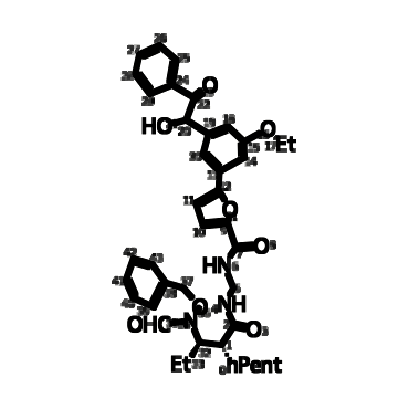 CCCCC[C@@H](C(=O)NCNC(=O)c1ccc(-c2cc(OCC)cc(C(O)C(=O)c3ccccc3)c2)o1)[C@@H](CC)N(C=O)OCc1ccccc1